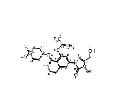 CCn1c(CO)nn(-c2cc(O[C@@H](C)C(F)(F)F)c3c(OC4CCS(=O)(=O)CC4)nccc3c2)c1=O